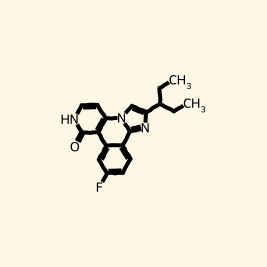 CCC(CC)c1cn2c3cc[nH]c(=O)c3c3cc(F)ccc3c2n1